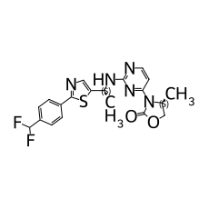 C[C@H](Nc1nccc(N2C(=O)OC[C@@H]2C)n1)c1cnc(-c2ccc(C(F)F)cc2)s1